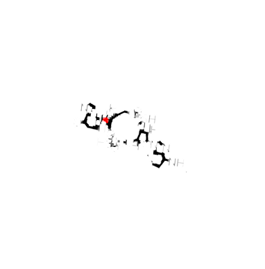 Nc1ccnc2c1ncn2[C@@H]1O[C@@H]2CO[P@@](=O)(S)O[C@@H]3[C@H](O)[C@@H](CO[P@@](=O)(S)O[C@H]2[C@@H]1F)O[C@H]3n1ccc(=O)c2nccn21